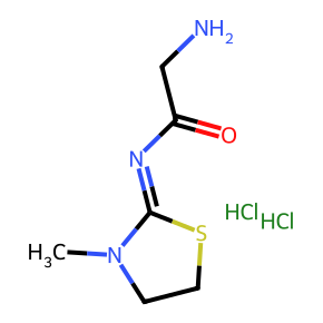 CN1CCSC1=NC(=O)CN.Cl.Cl